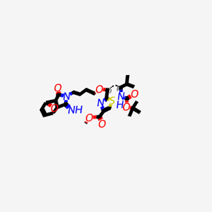 COC(=O)c1csc([C@@H](C[C@@H](NC(=O)OC(C)(C)C)C(C)C)OCCCCN2C(=N)C3C4C=CC(O4)C3C2=O)n1